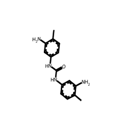 Cc1ccc(NC(=O)Nc2ccc(C)c(N)c2)cc1N